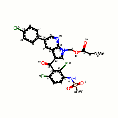 CCCS(=O)(=O)Nc1ccc(F)c(C(=O)c2cn(COC(=O)CNC)c3ncc(-c4ccc(Cl)cc4)cc23)c1F